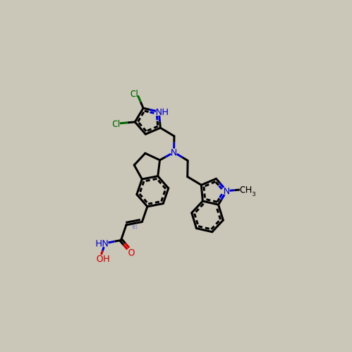 Cn1cc(CCN(Cc2cc(Cl)c(Cl)[nH]2)C2CCc3cc(/C=C/C(=O)NO)ccc32)c2ccccc21